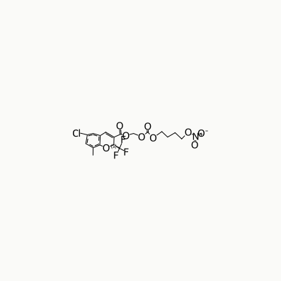 Cc1cc(Cl)cc2c1O[C@H](C(F)(F)F)C(C(=O)OCOC(=O)OCCCCO[N+](=O)[O-])=C2